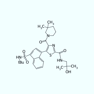 CC(C)(O)CNC(=O)c1nc(C(=O)N2CCCC(C)(C)C2)c(-c2ccc(S(=O)(=O)NC(C)(C)C)c3ccccc23)s1